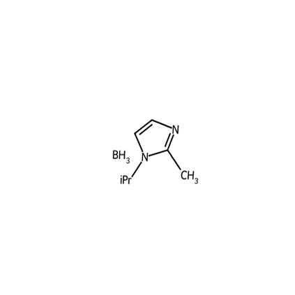 B.Cc1nccn1C(C)C